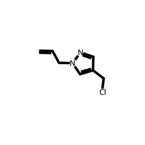 C=CCn1cc(CCl)cn1